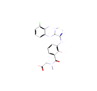 CN(CC(=O)O)C(=O)c1cccc(NC2=NSNC2Nc2cccc(Cl)c2N)c1O